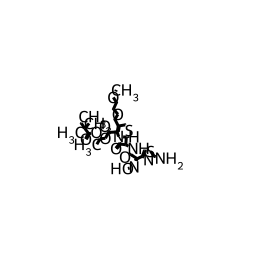 CCC(C)(C)C(=O)OC(C)OC(=O)C1=C(COCCOC)CS[C@@H]2C(NC(=O)/C(=N\O)c3csc(N)n3)C(=O)N12